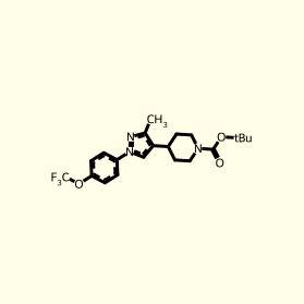 Cc1nn(-c2ccc(OC(F)(F)F)cc2)cc1C1CCN(C(=O)OC(C)(C)C)CC1